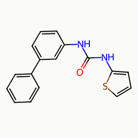 O=C(Nc1cccc(-c2ccccc2)c1)Nc1cccs1